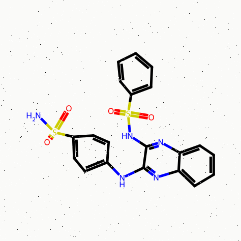 NS(=O)(=O)c1ccc(Nc2nc3ccccc3nc2NS(=O)(=O)c2ccccc2)cc1